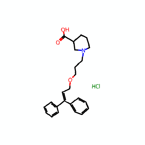 Cl.O=C(O)C1CCCN(CCCOCC=C(c2ccccc2)c2ccccc2)C1